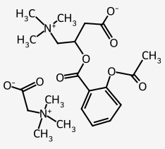 CC(=O)Oc1ccccc1C(=O)OC(CC(=O)[O-])C[N+](C)(C)C.C[N+](C)(C)CC(=O)[O-]